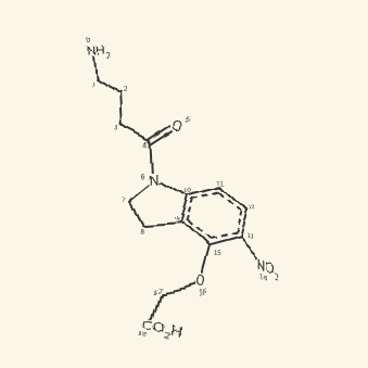 NCCCC(=O)N1CCc2c1ccc([N+](=O)[O-])c2OCC(=O)O